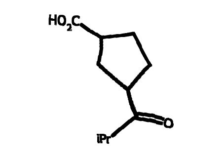 CC(C)C(=O)C1CCC(C(=O)O)C1